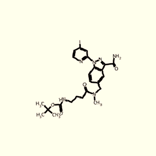 CN(Cc1ccc2c(c1)c(C(N)=O)nn2-c1cc(I)ccn1)C(=O)CCCNC(=O)OC(C)(C)C